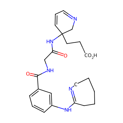 O=C(O)CCC1(NC(=O)CNC(=O)c2cccc(NC3=NCCCCC3)c2)C=CC=NC1